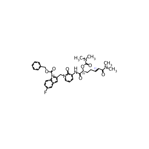 CN(C)C(=O)/C=C/CC[C@H](OC(=O)N(C)C)C(=O)Nc1cccn(Cc2cc3cc(F)ccc3n2C(=O)OCc2ccccc2)c1=O